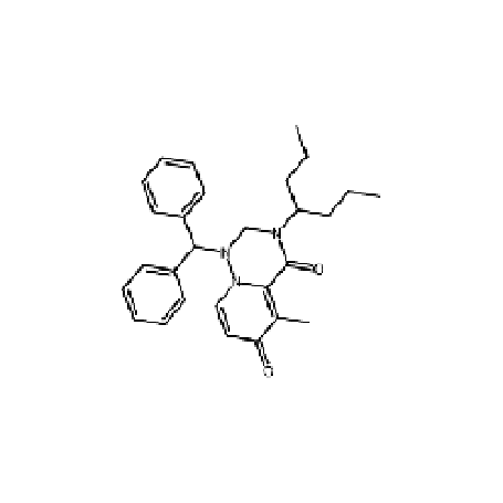 CCCC(CCC)N1CN(C(c2ccccc2)c2ccccc2)n2ccc(=O)c(C)c2C1=O